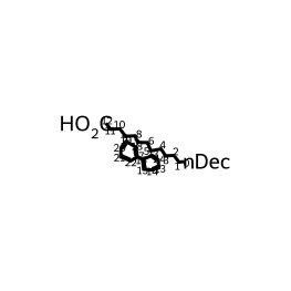 CCCCCCCCCCCCCCCCCCCCCC(=O)O.c1ccc(-c2ccccc2)cc1